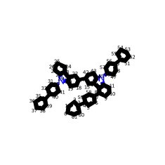 c1ccc(-c2ccc(-c3cccc4c3c3cc(-c5ccc6c(c5)c5ccccc5n6-c5ccc(-c6ccccc6)cc5)ccc3n4-c3ccc(-c4ccccc4)cc3)cc2)cc1